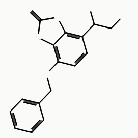 O=c1[nH]c2c(OCc3ccccc3)ccc(C(O)CBr)c2s1